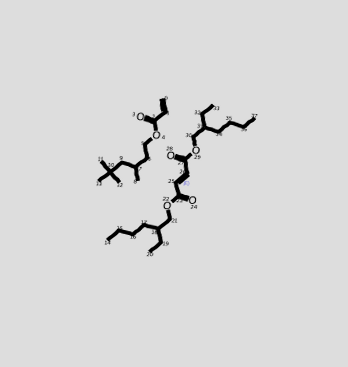 C=CC(=O)OCCC(C)CC(C)(C)C.CCCCC(CC)COC(=O)/C=C/C(=O)OCC(CC)CCCC